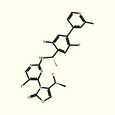 Cc1cc(-c2cc(F)c([C@H](C)Nc3ncc(F)c(-n4c([C@H](C)F)coc4=O)n3)cc2F)ccn1